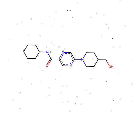 O=C(NC1CCCCC1)c1cnc(N2CCC(CO)CC2)cn1